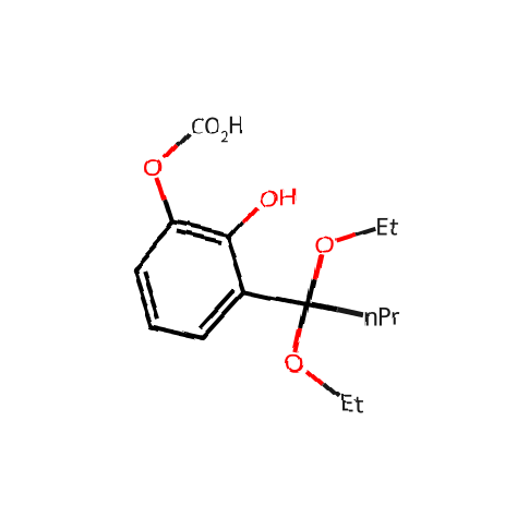 CCCC(OCC)(OCC)c1cccc(OC(=O)O)c1O